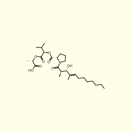 CCCCCCC/C=C(\C)[C@@H](O)[C@@H](C)C(=O)N1CCC[C@H]1C(=O)O[C@@H](C(=O)O[C@@H](C)C(=O)O)C(C)C